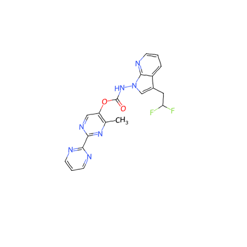 Cc1nc(-c2ncccn2)ncc1OC(=O)Nn1cc(CC(F)F)c2cccnc21